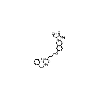 O=C(CCCOc1ccc2c(c1)CN1C(=N2)NC(=O)C1CO)NC1NCCc2ccccc21